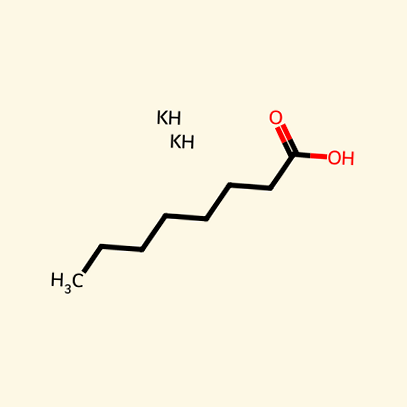 CCCCCCCC(=O)O.[KH].[KH]